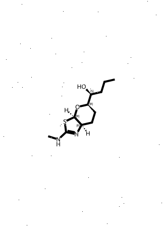 CCC[C@H](O)[C@H]1CC[C@H]2N=C(NC)S[C@H]2O1